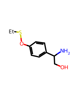 CCSOc1ccc(C(N)CO)cc1